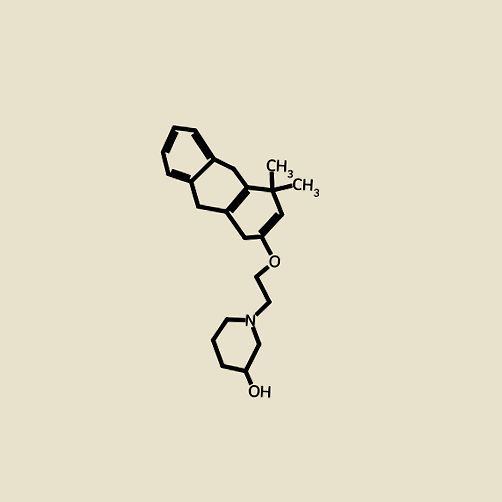 CC1(C)C=C(OCCN2CCCC(O)C2)CC2=C1Cc1ccccc1C2